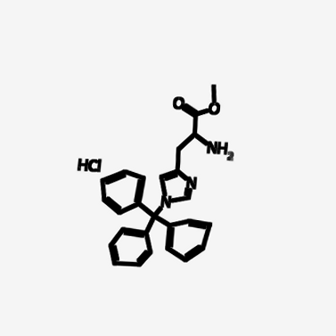 COC(=O)C(N)Cc1cn(C(c2ccccc2)(c2ccccc2)c2ccccc2)cn1.Cl